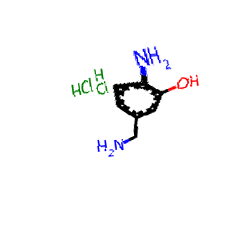 Cl.Cl.NCc1ccc(N)c(O)c1